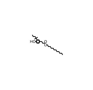 CCCCCCCCCCCCOC(=O)CCc1ccc(O)c(C(C)(C)CCC)c1